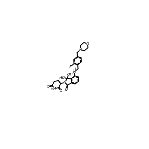 O=C1CCC(N2C(=O)c3cccc(NCc4ccc(CN5CCOCC5)cc4F)c3C2(O)O)C(=O)N1